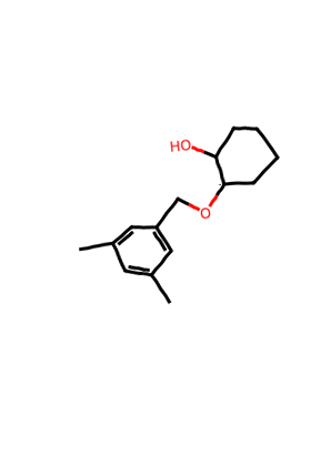 Cc1cc(C)cc(CO[C]2CCCCC2O)c1